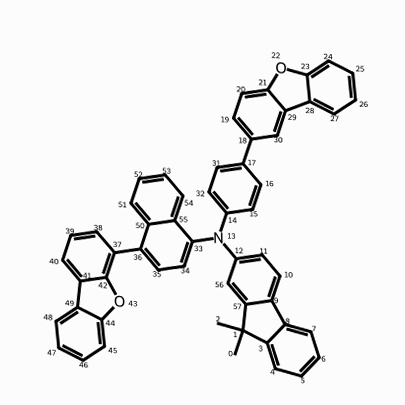 CC1(C)c2ccccc2-c2ccc(N(c3ccc(-c4ccc5oc6ccccc6c5c4)cc3)c3ccc(-c4cccc5c4oc4ccccc45)c4ccccc34)cc21